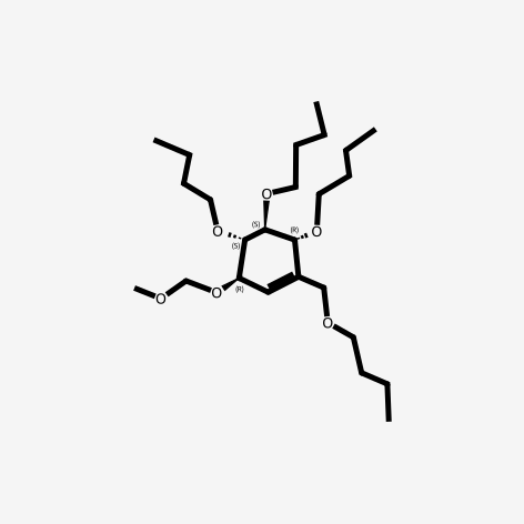 CCCCOCC1=C[C@@H](OCOC)[C@H](OCCCC)[C@@H](OCCCC)[C@@H]1OCCCC